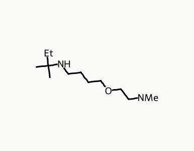 CCC(C)(C)NCCCCOCCNC